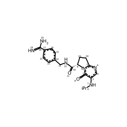 CC(C)Nc1cnc2n(c1=O)[C@H](C(=O)NCc1ccc(C(=N)N)cc1)CC2